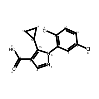 O=C(O)c1cnn(-c2cc(Cl)ccc2Cl)c1C1CC1